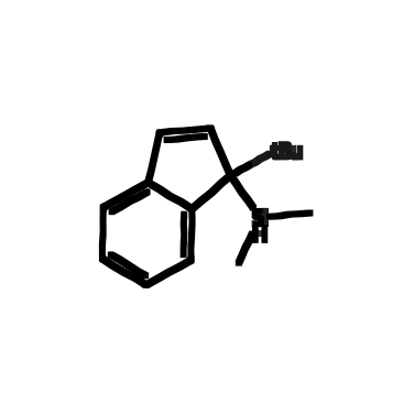 C[SiH](C)C1(C(C)(C)C)C=Cc2ccccc21